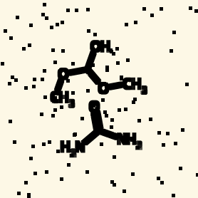 COC(O)OC.NC(N)=O